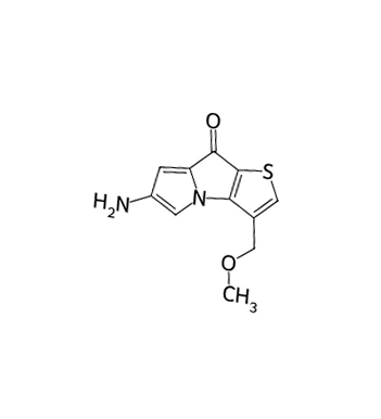 COCc1csc2c1-n1cc(N)cc1C2=O